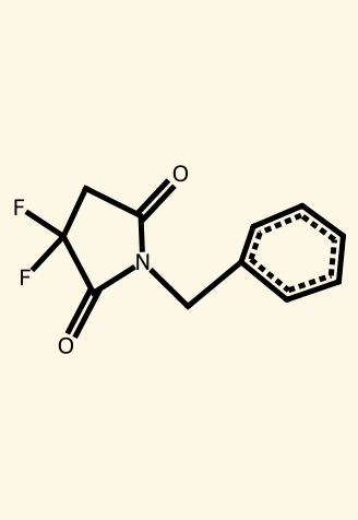 O=C1CC(F)(F)C(=O)N1Cc1ccccc1